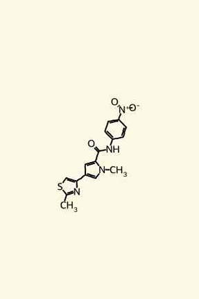 Cc1nc(-c2cc(C(=O)Nc3ccc([N+](=O)[O-])cc3)n(C)c2)cs1